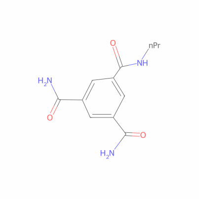 CCCNC(=O)c1cc(C(N)=O)cc(C(N)=O)c1